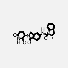 C[C@H]1Cc2ccccc2N1C(=O)Nc1ccc2c(c1)CN(C1CCC(=O)NC1=O)C2=O